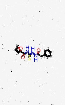 O=C(Cc1ccccc1)NNC(=S)NC(=O)c1ccco1